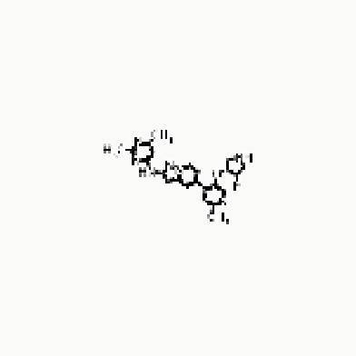 Cc1cc(-c2ccn3nc(Nc4cc(C)nc(C)n4)cc3c2)c(O[C@@H]2CNC[C@@H]2F)cn1